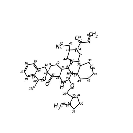 C=CC(=O)N1CCN(C2C3CC[C@]4(Cc5ccccc5C(F)O4)C(=O)C3NC(OCC3CCCN3C)N2C2CCCCCC2)CC1CC#N